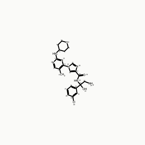 Cc1cnc(NC2CCOCC2)nc1-n1cnc(C(=O)NC(O)(CN)c2cccc(Cl)c2)c1